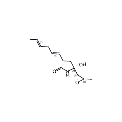 C/C=C/C/C=C/CC[C@](O)(NC=O)[C@H]1O[C@H]1C